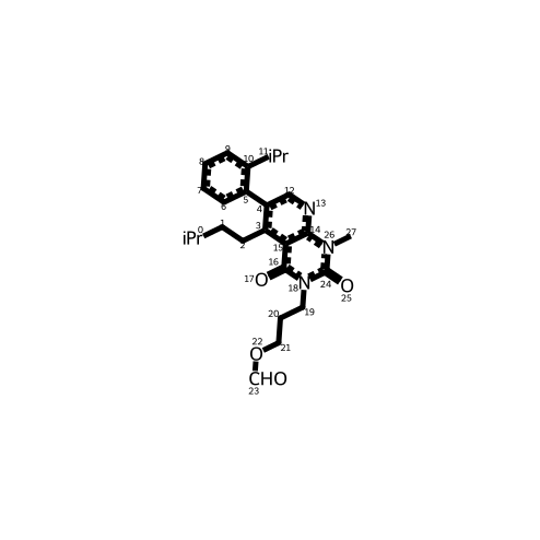 CC(C)CCc1c(-c2ccccc2C(C)C)cnc2c1c(=O)n(CCCOC=O)c(=O)n2C